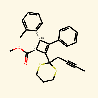 CC#CCC1(C2=C(c3ccccc3)[C@@H](c3ccccc3C)[C@@H]2C(=O)OC)SCCCS1